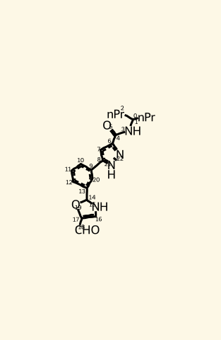 CCCC(CCC)NC(=O)c1cc(-c2cccc(C3NC=C(C=O)O3)c2)[nH]n1